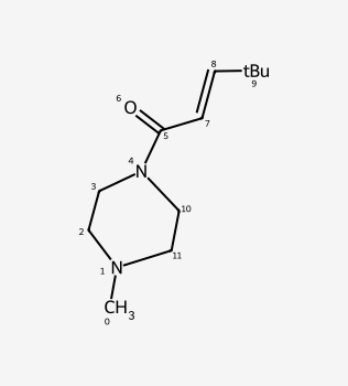 CN1CCN(C(=O)/C=C/C(C)(C)C)CC1